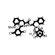 CNc1cccc(CC(NC(=O)c2cc(Cl)ccc2Cl)C(=O)NC(Cc2ccccc2)B2O[C@@H]3C[C@@H]4C[C@@H](C4(C)C)[C@]3(C)O2)c1